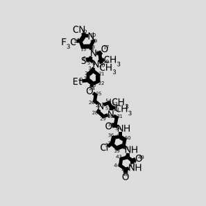 CCc1cc(N2C(=S)N(c3cnc(C#N)c(C(F)(F)F)c3)C(=O)C2(C)C)ccc1OCCN1CCN(CC(=O)Nc2cc(Cl)cc(NC3CCC(=O)NC3=O)c2)C(C)(C)C1